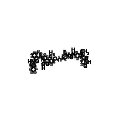 Cc1c(OCCCN2CCN(CC(=O)Nc3ccc4c(C5CCC(=O)NC5=O)nn(C)c4c3)C(F)C2)cccc1-c1ccc(N2CCc3cccc(C(=O)Nc4nc5ccccc5s4)c3C2)nc1C(=O)O